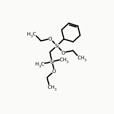 CCO[Si](C)(C)C[Si](OCC)(OCC)C1CC=CCC1